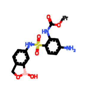 CC(C)OC(=O)Nc1cc(N)ccc1S(=O)(=O)Nc1ccc2c(c1)B(O)OC2